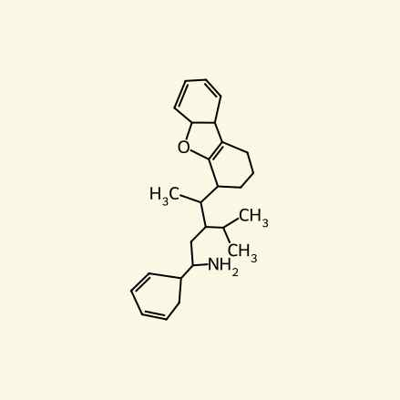 CC(C)C(CC(N)C1C=CC=CC1)C(C)C1CCCC2=C1OC1C=CC=CC21